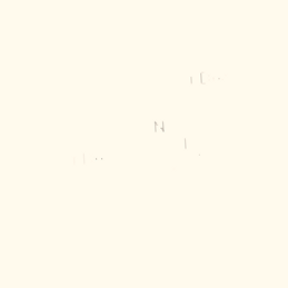 CCCCCCCCCCCCN(CCCCCCCCCCCC)[SiH2]C=C(C)C